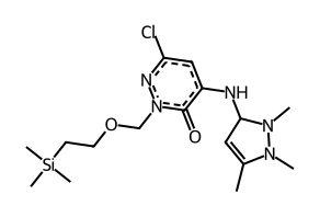 CC1=CC(Nc2cc(Cl)nn(COCC[Si](C)(C)C)c2=O)N(C)N1C